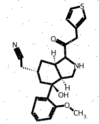 COc1ccccc1[C@]1(O)C[C@H](CC#N)C[C@H]2C(C(=O)Cc3ccsc3)NC[C@H]21